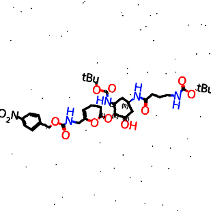 CC(C)(C)OC(=O)NCCCC(=O)N[C@H]1C[C@@H](O)[C@H](O[C@@H]2CCC=C(CNC(=O)OCc3ccc([N+](=O)[O-])cc3)O2)[C@@H](NC(=O)OC(C)(C)C)C1